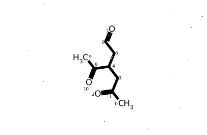 CC(=O)CC(CC=O)C(C)=O